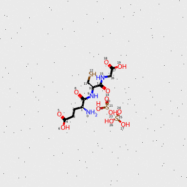 N[C@@H](CCC(=O)O)C(=O)N[C@@H](CS)C(=O)NCC(=O)O.O=S(O)O.O=S(O)O